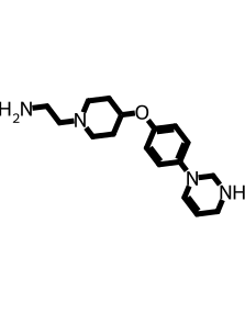 NCCN1CCC(Oc2ccc(N3C=CCNC3)cc2)CC1